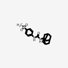 CS(=O)(=O)c1ccc(NC(=O)NC23CC4CC(CC(C4)C2)C3)cc1